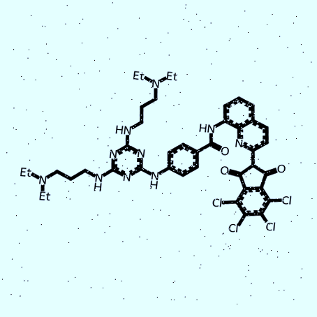 CCN(CC)CCCNc1nc(NCCCN(CC)CC)nc(Nc2ccc(C(=O)Nc3cccc4ccc(C5C(=O)c6c(Cl)c(Cl)c(Cl)c(Cl)c6C5=O)nc34)cc2)n1